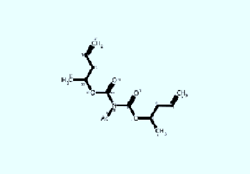 C=CCC(C)OC(=O)N(C(C)=O)C(=O)OC(C)CC=C